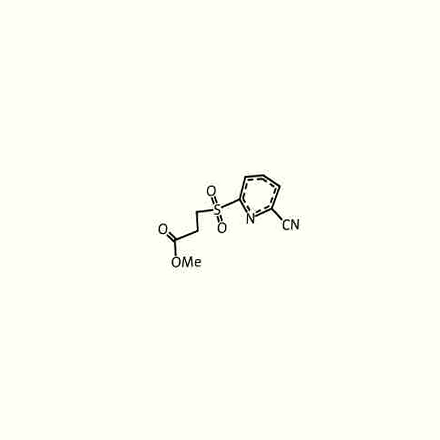 COC(=O)CCS(=O)(=O)c1cccc(C#N)n1